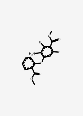 COC(=O)c1ccccc1Sc1cc(F)c(C(=O)OC)c(F)c1N